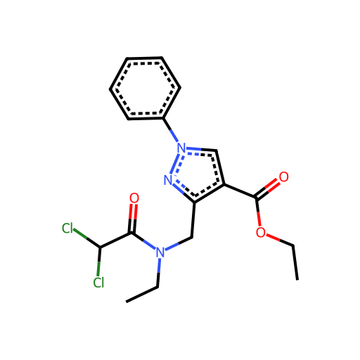 CCOC(=O)c1cn(-c2ccccc2)nc1CN(CC)C(=O)C(Cl)Cl